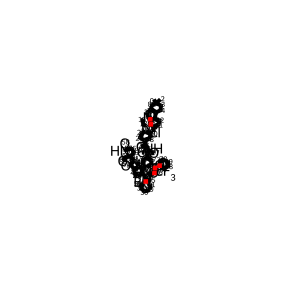 CC1(C)CCC(c2ccc(Cl)cc2)=C(CN2CCN(c3ccc(C(=O)NS(=O)(=O)c4ccc(N[C@H](CCN5C6CC5CN(Cc5cc7c(cc5Br)C(=O)N(C5CCC(=O)NC5=O)C7)C6)CSc5ccccc5)c(S(=O)(=O)C(F)(F)F)c4)cc3)CC2)C1